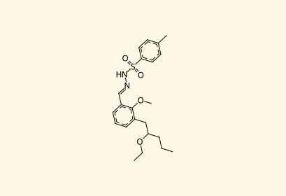 CCCC(Cc1cccc(C=NNS(=O)(=O)c2ccc(C)cc2)c1OC)OCC